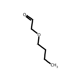 CCC[CH]OC[C]=O